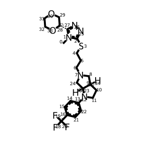 Cn1c(SCCCN2C[C@@H]3CCN(c4ccc(C(F)(F)F)cc4)[C@@H]3C2)nnc1[C@H]1COCCO1